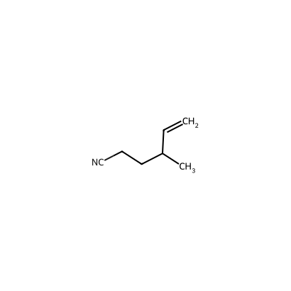 C=CC(C)CCC#N